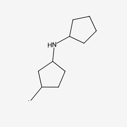 [CH2]C1CCC(NC2CCCC2)C1